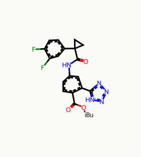 CCC(C)OC(=O)c1ccc(NC(=O)C2(c3ccc(F)c(F)c3)CC2)cc1-c1nnn[nH]1